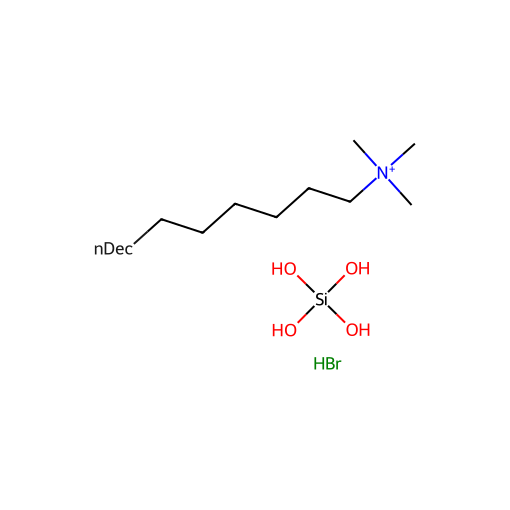 Br.CCCCCCCCCCCCCCCC[N+](C)(C)C.O[Si](O)(O)O